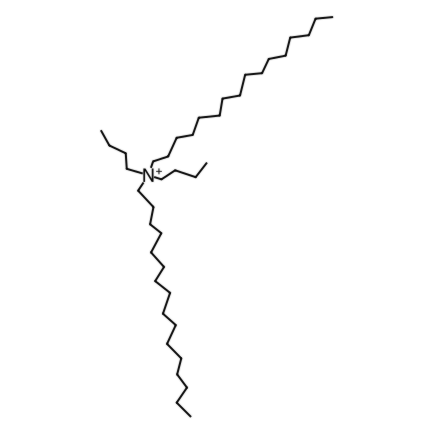 CCCCCCCCCCCCCCCC[N+](CCCC)(CCCC)CCCCCCCCCCCCCCCC